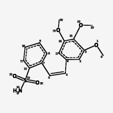 COc1cc(/C=C\c2ccccc2S(N)(=O)=O)cc(OC)c1OC